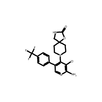 Nc1ncc(-c2ccc(C(F)(F)F)cc2)c(N2CCC3(CC2)CNC(=O)O3)c1Cl